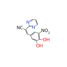 N#CC(=Cc1cc(O)c(O)c([N+](=O)[O-])c1)c1ncccn1